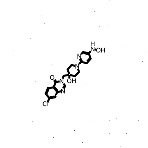 O=c1c2ccc(Cl)cc2ncn1CC1(O)CCN(c2ccc(NO)cn2)CC1